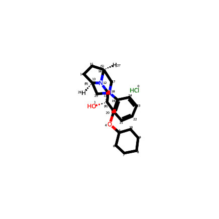 Cl.O[C@@H](COC1CCCCC1)CN1[C@@H]2CC[C@H]1CN(c1ccccc1)C2